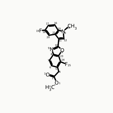 COC(=O)Cc1ccc2nc(-c3cn(C)c4ccc(F)cc34)oc2c1F